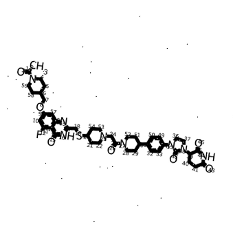 CC(=O)N1CCC(COc2cc(F)c3c(=O)[nH]c(CSC4CCN(CC(=O)N5CCC(c6ccc(N7CCN(C8CCC(=O)NC8=O)C7=O)cc6)CC5)CC4)nc3c2)CC1